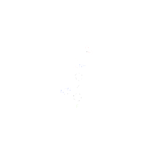 CSC(CCC(=O)O)NC(=O)c1ccc(C=C(Cn2ccnc2)c2ccc(F)cc2)cc1